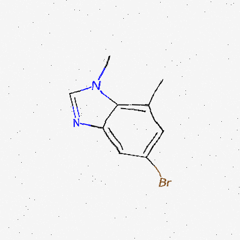 Cc1cc(Br)cc2ncn(C)c12